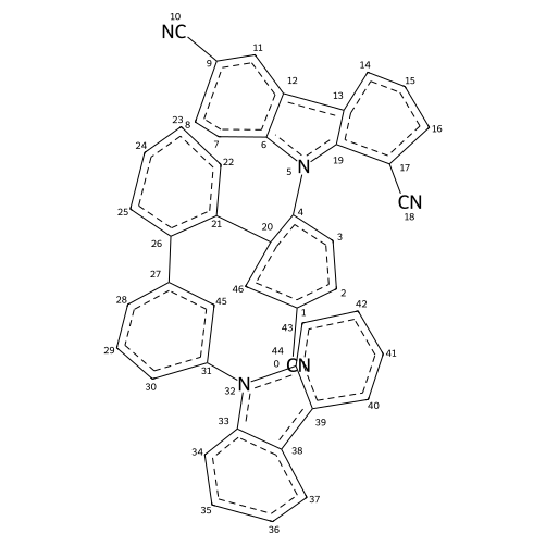 N#Cc1ccc(-n2c3ccc(C#N)cc3c3cccc(C#N)c32)c(-c2ccccc2-c2cccc(-n3c4ccccc4c4ccccc43)c2)c1